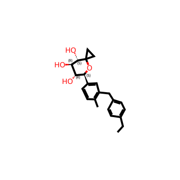 CCc1ccc(Cc2cc([C@@H]3OC4(CC4)[C@@H](O)[C@H](O)[C@H]3O)ccc2C)cc1